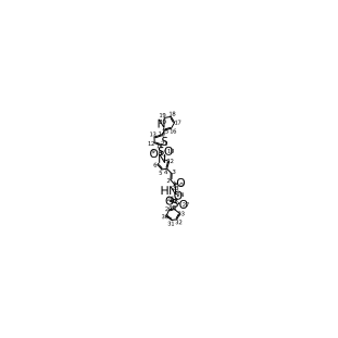 O=C(/C=C/c1ccn(S(=O)(=O)c2ccc(-c3ccccn3)s2)c1)NOS(=O)(=O)c1ccccc1